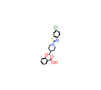 O=C(O)c1ccccc1OCC1CCN(c2nc3ccc(Cl)cc3s2)CC1